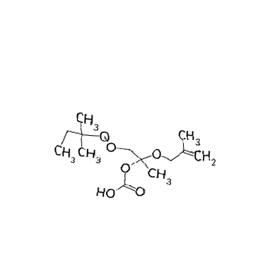 C=C(C)COC(C)(COOC(C)(C)CC)OC(=O)O